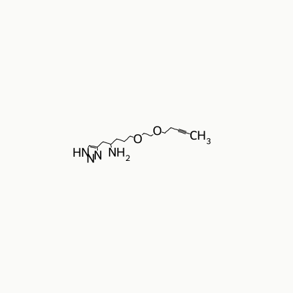 CC#CCCOCCOCCCC(N)Cc1c[nH]nn1